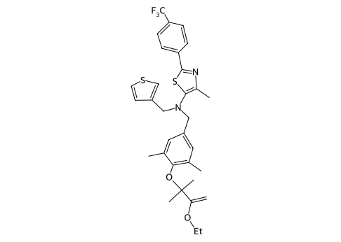 C=C(OCC)C(C)(C)Oc1c(C)cc(CN(Cc2ccsc2)c2sc(-c3ccc(C(F)(F)F)cc3)nc2C)cc1C